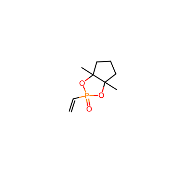 C=CP1(=O)OC2(C)CCCC2(C)O1